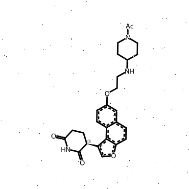 CC(=O)N1CCC(NCCOc2ccc3c(ccc4occ([C@@H]5CCC(=O)NC5=O)c43)c2)CC1